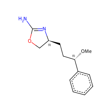 CO[C@@H](CC[C@H]1COC(N)=N1)c1ccccc1